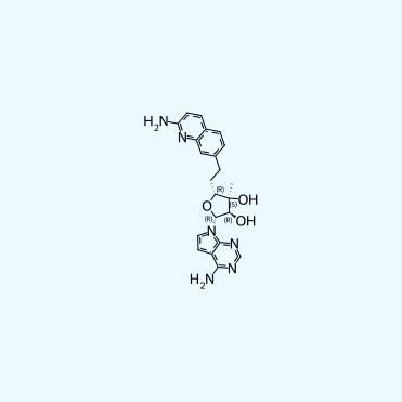 C[C@@]1(O)[C@@H](CCc2ccc3ccc(N)nc3c2)O[C@@H](n2ccc3c(N)ncnc32)[C@@H]1O